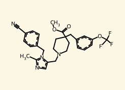 COC(=O)C1(Cc2cccc(OC(F)(F)F)c2)CCN(Cc2cnc(C)n2Cc2ccc(C#N)cc2)CC1